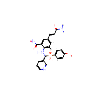 COc1ccc(S(=O)(=O)C(Nc2c(C)cc(C=CC(=O)N(C)C)cc2C(=O)NO)c2cccnc2)cc1